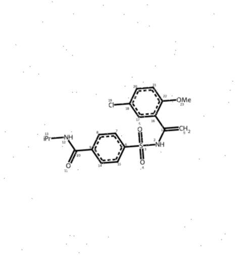 C=C(NS(=O)(=O)c1ccc(C(=O)NC(C)C)cc1)c1cc(Cl)ccc1OC